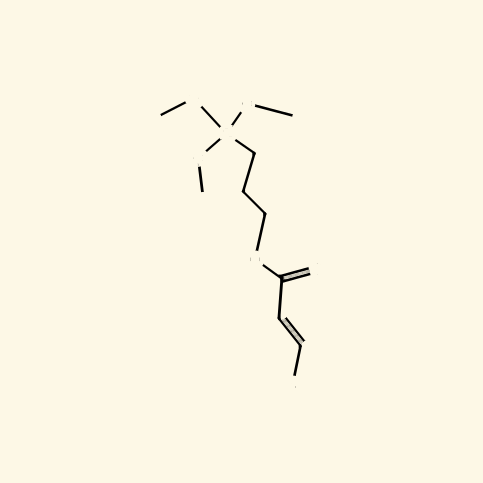 CO[Si](CCCOC(=O)C=CS)(OC)OC